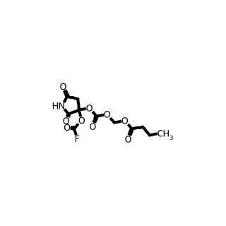 CCCC(=O)OCOC(=O)OC1(OC(=O)F)CC(=O)NC1=O